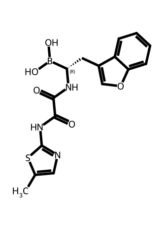 Cc1cnc(NC(=O)C(=O)N[C@@H](Cc2coc3ccccc23)B(O)O)s1